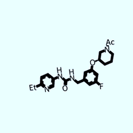 CCc1ccc(NC(=O)NCc2cc(F)cc(O[C@@H]3CCCN(C(C)=O)C3)c2)cn1